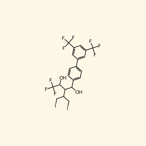 OC(c1ccc(-c2cc(C(F)(F)F)cc(C(F)(F)F)c2)cc1)C(C(CI)CI)C(O)C(F)(F)F